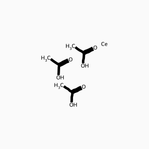 CC(=O)O.CC(=O)O.CC(=O)O.[Ce]